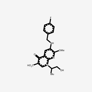 COc1nc2c(cc1NCc1ccc(F)cc1)c(=O)c(C(=O)O)cn2C(CO)C(C)(C)C